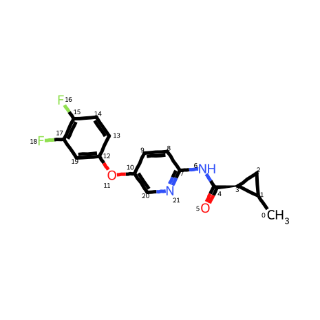 CC1C[C@@H]1C(=O)Nc1ccc(Oc2ccc(F)c(F)c2)cn1